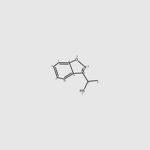 CC(S)c1noc2ccccc12